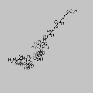 CC(C)(COP(=O)(O)OP(=O)(O)OC[C@H]1O[C@@H](n2cnc3c(N)ncnc32)[C@H](O)[C@@H]1OP(=O)(O)O)[C@@H](O)C(=O)NCCC(=O)NCCSC(=O)C(=O)CCCCC(=O)O